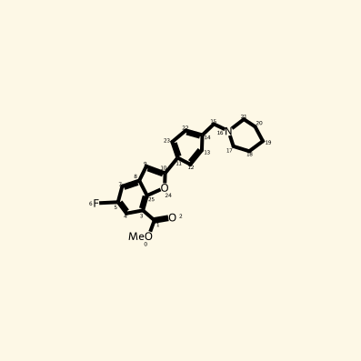 COC(=O)c1cc(F)cc2cc(-c3ccc(CN4CCCCC4)cc3)oc12